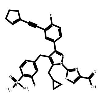 C[SH](N)(=O)c1ccc(Cc2c(-c3ccc(F)c(C#CC4=CCCC4)c3)nn(-c3nc(C(=O)O)cs3)c2CC2CC2)cc1F